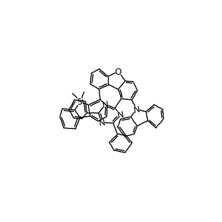 C[Si]1(C)c2ccccc2-c2cccc(-c3cccc4oc5ccc(-n6c7ccccc7c7ccccc76)c(-c6nc(-c7ccccc7)nc(-c7ccccc7)n6)c5c34)c21